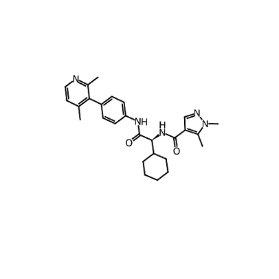 Cc1ccnc(C)c1-c1ccc(NC(=O)[C@@H](NC(=O)c2cnn(C)c2C)C2CCCCC2)cc1